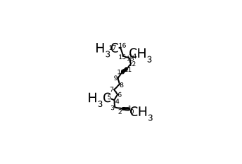 CC#CCC(C)CCCCC#CCC(C)CCC